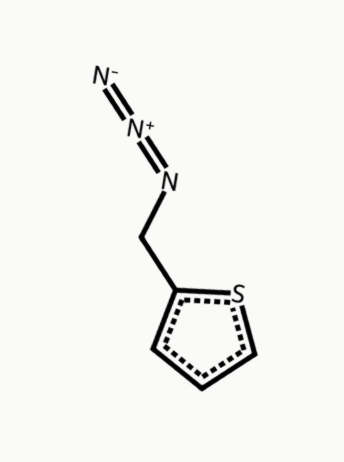 [N-]=[N+]=NCc1cccs1